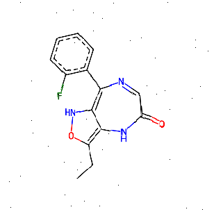 CCC1=C2NC(=O)C=NC(c3ccccc3F)=C2NO1